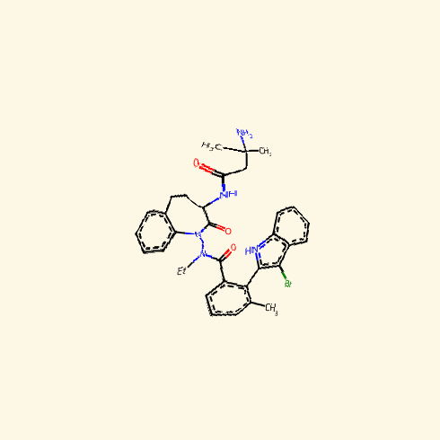 CCN(C(=O)c1cccc(C)c1-c1[nH]c2ccccc2c1Br)N1C(=O)C(NC(=O)CC(C)(C)N)CCc2ccccc21